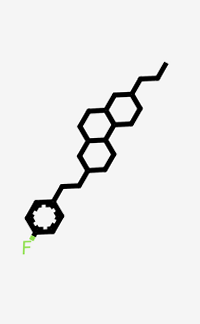 CCCC1CCC2C(CCC3CC(CCc4ccc(F)cc4)CCC32)C1